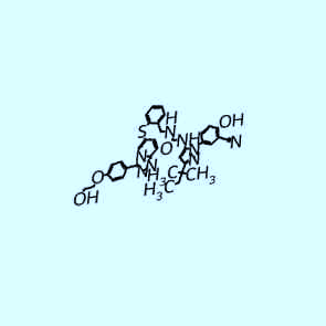 CCC(C)(C)c1cc(NC(=O)NCc2ccccc2Sc2ccc3nnc(-c4ccc(OCCO)cc4)n3c2)n(-c2ccc(O)c(C#N)c2)n1